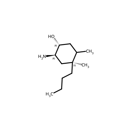 CCCC[C@@]1(C)C[C@@H](N)[C@H](O)CC1C